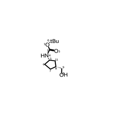 CC(C)(C)OC(=O)N[C@H]1CC[C@@H](CO)C1